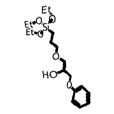 CCO[Si](CCCOCC(O)COc1ccccc1)(OCC)OCC